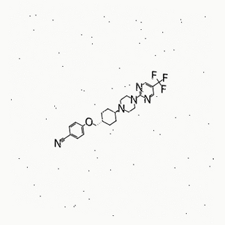 N#Cc1ccc(OC[C@H]2CC[C@H](N3CCN(c4ncc(C(F)(F)F)cn4)CC3)CC2)cc1